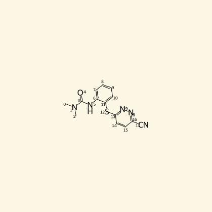 CN(C)C(=O)Nc1ccccc1Sc1ccc(C#N)nn1